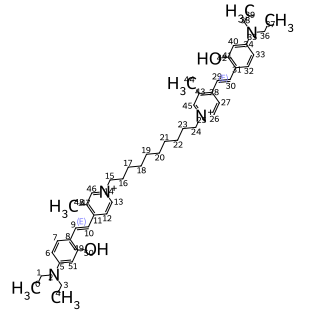 CCN(CC)c1ccc(/C=C/c2cc[n+](CCCCCCCCCC[n+]3ccc(/C=C/c4ccc(N(CC)CC)cc4O)c(C)c3)cc2C)c(O)c1